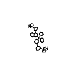 c1ccc(C2(c3ccccc3)c3cc(-c4cccc(-c5cnco5)c4)ccc3-c3c2cc(-c2cccc(-c4cnco4)c2)c2ccccc32)cc1